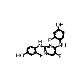 Oc1ccc(Nc2ncc(F)c(Nc3ccc(O)cc3F)n2)c(F)c1